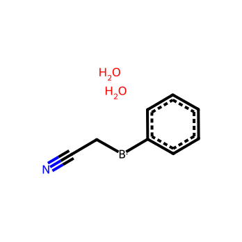 N#CC[B]c1ccccc1.O.O